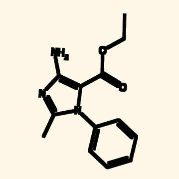 CCOC(=O)c1c(N)nc(C)n1-c1ccccc1